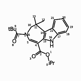 CC(C)OC(=O)C1=CN(C(=O)C(C)(C)C)CC(C)(C)c2c1[nH]c1ccccc21